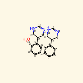 C1=NCC(c2ccccc2)CN1.C1=NCC(c2ccccc2)CN1.O